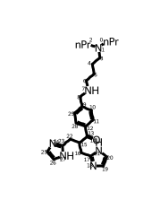 CCCN(CCC)CCCCNCc1ccc(C(=O)C(Cc2ncc[nH]2)Cc2ncc[nH]2)cc1